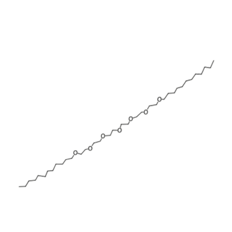 CCCCCCCCCCCCOCCOCCOCCOCCOCCOCCOCCCCCCCCCCCC